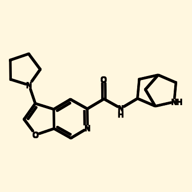 O=C(NC1CC2CNC1C2)c1cc2c(N3CCCC3)coc2cn1